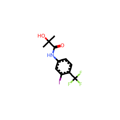 CC(C)(O)C(=O)Nc1ccc(C(F)(F)F)c(I)c1